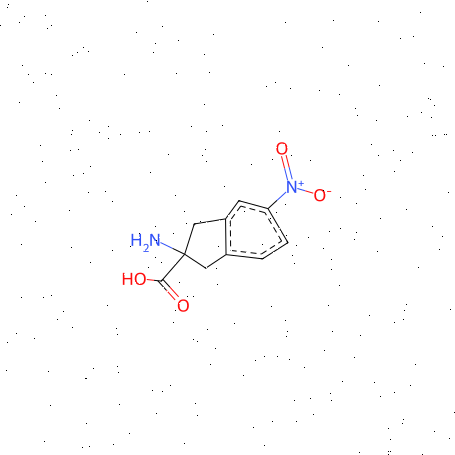 NC1(C(=O)O)Cc2ccc([N+](=O)[O-])cc2C1